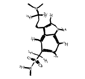 [2H]c1c(C([2H])([2H])S(=O)(=O)N([2H])C)c([2H])c2c(CC([2H])([2H])N(C)C)c([2H])n([2H])c2c1[2H]